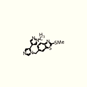 CSc1nc2ccc(Cn3cncc3-c3cnn(C)c3)cc2s1